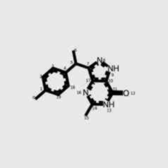 Cc1ccc(C(C)c2n[nH]c3c(=O)[nH]c(C)nc23)cc1